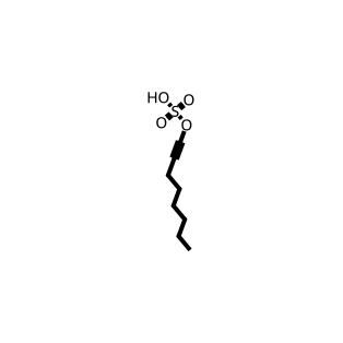 CCCCCCC#COS(=O)(=O)O